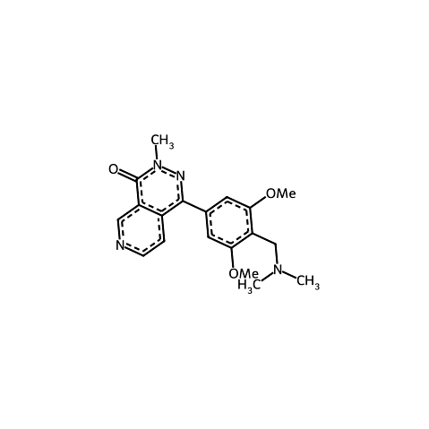 COc1cc(-c2nn(C)c(=O)c3cnccc23)cc(OC)c1CN(C)C